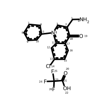 NCc1cn(-c2ccccc2)c2cc(Cl)ccc2c1=O.O=C(O)C(F)(F)F